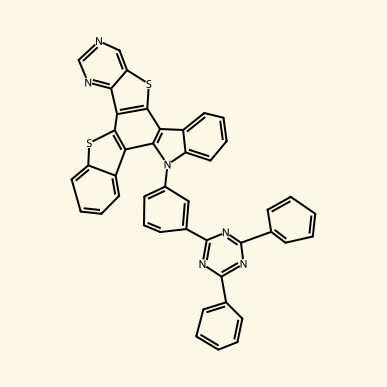 c1ccc(-c2nc(-c3ccccc3)nc(-c3cccc(-n4c5ccccc5c5c6sc7cncnc7c6c6sc7ccccc7c6c54)c3)n2)cc1